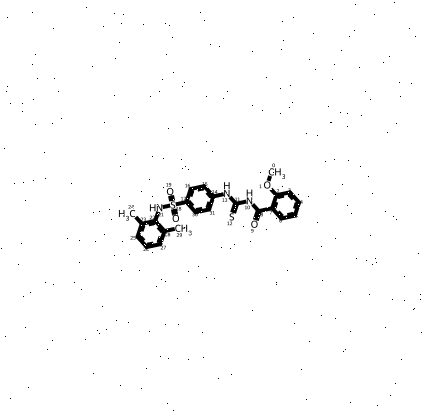 COc1ccccc1C(=O)NC(=S)Nc1ccc(S(=O)(=O)Nc2c(C)cccc2C)cc1